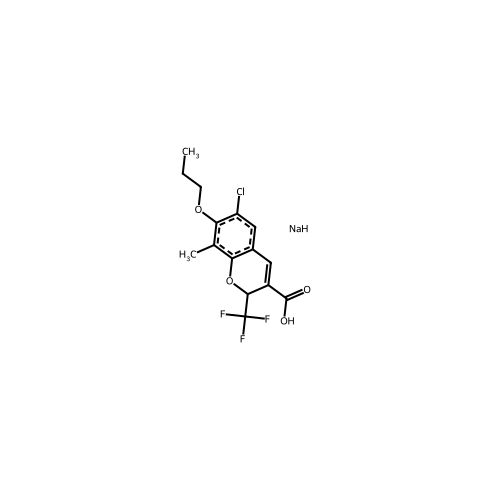 CCCOc1c(Cl)cc2c(c1C)OC(C(F)(F)F)C(C(=O)O)=C2.[NaH]